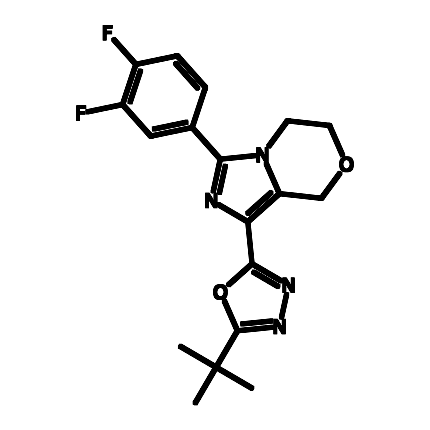 CC(C)(C)c1nnc(-c2nc(-c3ccc(F)c(F)c3)n3c2COCC3)o1